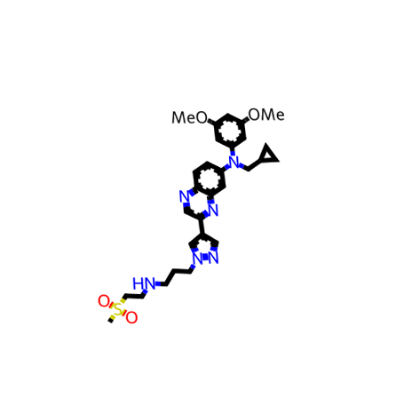 COc1cc(OC)cc(N(CC2CC2)c2ccc3ncc(-c4cnn(CCCNCCS(C)(=O)=O)c4)nc3c2)c1